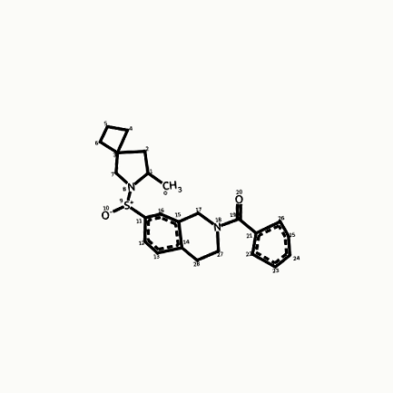 CC1CC2(CCC2)CN1[S+]([O-])c1ccc2c(c1)CN(C(=O)c1ccccc1)CC2